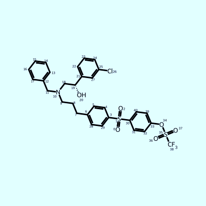 O=S(=O)(c1ccc(CCCN(Cc2ccccc2)C[C@@H](O)c2cccc(Cl)c2)cc1)c1ccc(OS(=O)(=O)C(F)(F)F)cc1